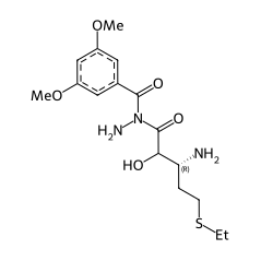 CCSCC[C@@H](N)C(O)C(=O)N(N)C(=O)c1cc(OC)cc(OC)c1